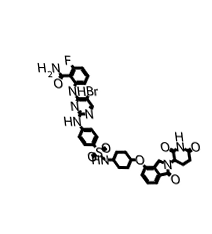 NC(=O)c1c(F)cccc1Nc1nc(Nc2ccc(S(=O)(=O)NC3CCC(Oc4cccc5c4CN(C4CCC(=O)NC4=O)C5=O)CC3)cc2)ncc1Br